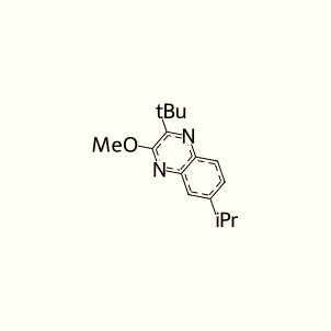 COc1nc2cc(C(C)C)ccc2nc1C(C)(C)C